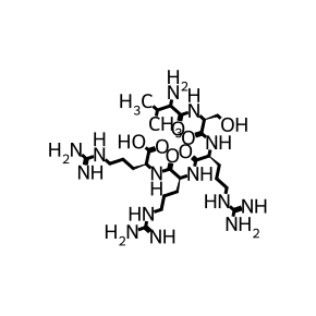 CC(C)C(N)C(=O)N[C@@H](CO)C(=O)N[C@@H](CCCNC(=N)N)C(=O)N[C@@H](CCCNC(=N)N)C(=O)N[C@@H](CCCNC(=N)N)C(=O)O